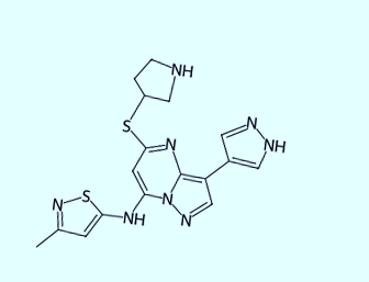 Cc1cc(Nc2cc(SC3CCNC3)nc3c(-c4cn[nH]c4)cnn23)sn1